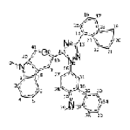 Cn1c2ccccc2c2cc(-c3nc(-c4cccc5ccccc45)nn3-c3ccc4c(c3)c3ccccc3n4C)ccc21